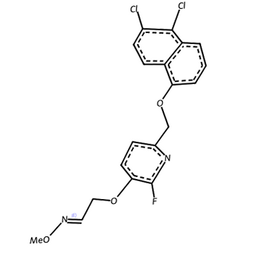 CO/N=C/COc1ccc(COc2cccc3c(Cl)c(Cl)ccc23)nc1F